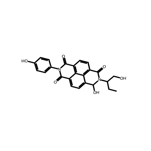 CCC(CO)N1C(=O)c2ccc3c4c(ccc(c24)C1O)C(=O)N(c1ccc(O)cc1)C3=O